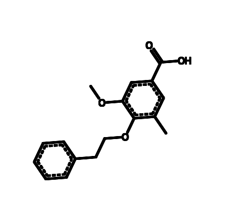 COc1cc(C(=O)O)cc(C)c1OCCc1ccccc1